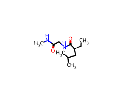 CC[C@@H](CC(C)C)C(=O)NCC(=O)NC